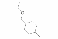 CCOCC1CCC(C)CC1